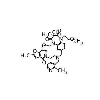 COCCN1C(=O)C(C)(C)C(=O)N(CC2CC2)c2cc(CN(CCn3ccc4oc(C)cc4c3=O)Cc3cccnc3C)ccc21